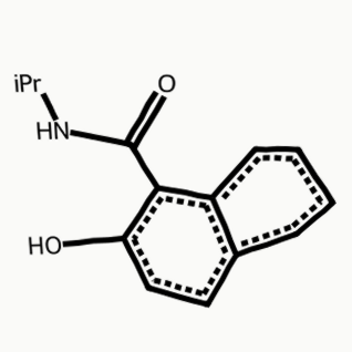 CC(C)NC(=O)c1c(O)ccc2ccccc12